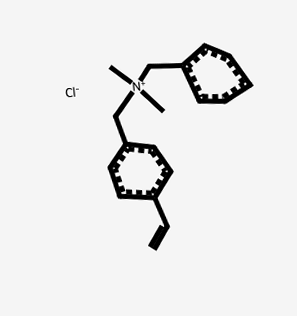 C=Cc1ccc(C[N+](C)(C)Cc2ccccc2)cc1.[Cl-]